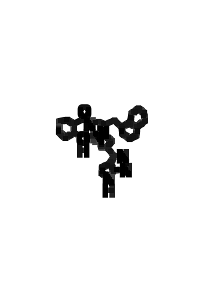 O=C(NCC(Cc1cccc2ccccc12)n1cc(-c2ncnc3[nH]ccc23)cn1)c1ccccc1O